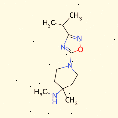 CNC1(C)CCN(c2nc(C(C)C)no2)CC1